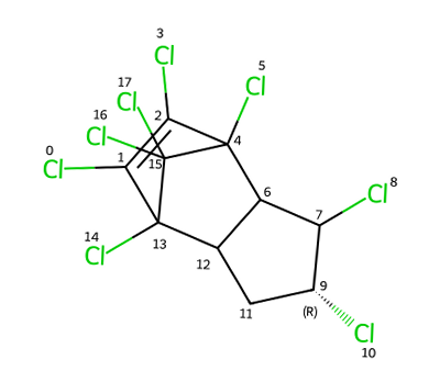 ClC1=C(Cl)C2(Cl)C3C(Cl)[C@H](Cl)CC3C1(Cl)C2(Cl)Cl